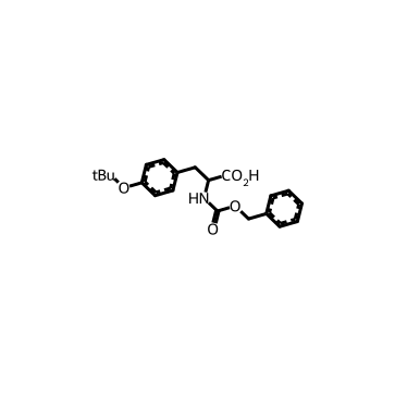 CC(C)(C)Oc1ccc(CC(NC(=O)OCc2ccccc2)C(=O)O)cc1